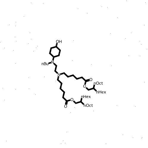 CCCCCCCCC(CCCCCC)COC(=O)CCCCCN(CCCCCC(=O)OCC(CCCCCC)CCCCCCCC)CCN(CCCC)C1CCC(O)CC1